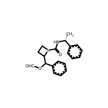 C[C@@H](NC(=O)N1CCC1C(OC=O)c1ccccc1)c1ccccc1